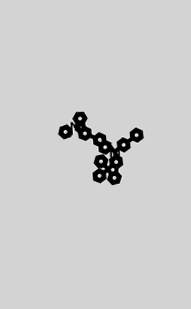 c1ccc(-c2ccc(N(c3ccc4c(c3)C(c3ccccc3)(c3ccccc3)c3ccccc3-4)c3ccc4cc(-c5ccc6c(c5)c5ccccc5n6-c5ccccc5)ccc4c3)cc2)cc1